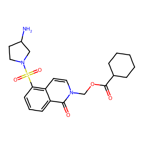 NC1CCN(S(=O)(=O)c2cccc3c(=O)n(COC(=O)C4CCCCC4)ccc23)C1